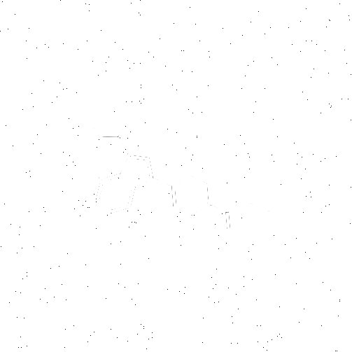 CC(C)(C)OC(=O)N1CC=C(c2cn(C(=O)OC(C)(C)C)c3ncccc23)CC1